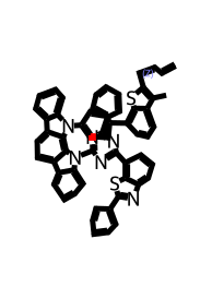 C=C/C=C\c1sc2c(-c3ccc(-n4c5ccccc5c5ccc6c7ccccc7n(-c7nc(-c8ccccc8)nc(-c8cccc9nc(-c%10ccccc%10)sc89)n7)c6c54)cc3)cccc2c1C